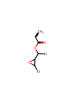 C=CC(=O)OC(CC)C1OC1CC